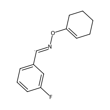 Fc1cccc([C]=NOC2=CCCCC2)c1